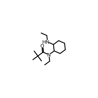 CCNC1CCCCC1N(CC)C(=O)C(C)(C)C